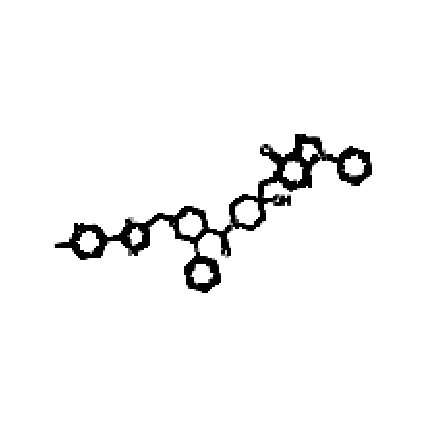 Cc1ccc(-c2ncc(CN3CC[C@@H](C(=O)N4CCC(O)(Cn5cnc6c(ncn6-c6ccccc6)c5=O)CC4)[C@H](c4ccccc4)C3)s2)cn1